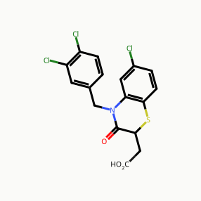 O=C(O)CC1Sc2ccc(Cl)cc2N(Cc2ccc(Cl)c(Cl)c2)C1=O